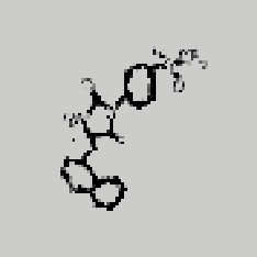 C[C@]1(Cc2ccnc3ccccc23)NC(=O)N(c2ccc(S(=O)(=O)C(F)(F)F)cc2)C1=O